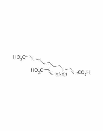 CCCCCCCCCC=CC(=O)O.O=C(O)C=CCCCCCCCCC(=O)O